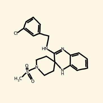 CS(=O)(=O)N1CCC2(CC1)Nc1ccccc1N=C2NCc1cccc(Cl)c1